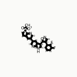 CS(=O)(=O)n1ccc2cc(-c3cnc4[nH]cc(-c5oncc5-c5cccc(F)c5F)c4c3)cnc21